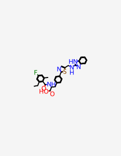 CCc1cc(F)cc(C)c1C(=O)NC(Cc1ccc(-c2ncc(CNc3nc4ccccc4[nH]3)s2)cc1)C(=O)O